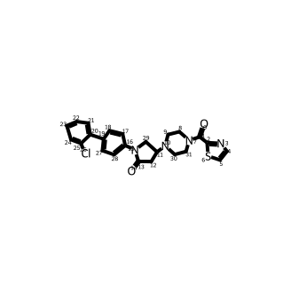 O=C(c1nccs1)N1CCN(C2CC(=O)N(c3ccc(-c4ccccc4Cl)cc3)C2)CC1